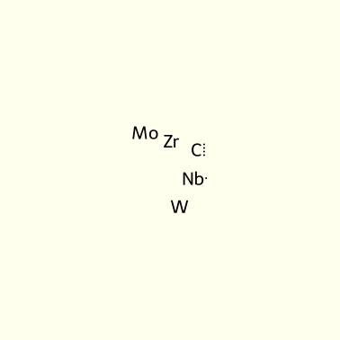 [C].[Mo].[Nb].[W].[Zr]